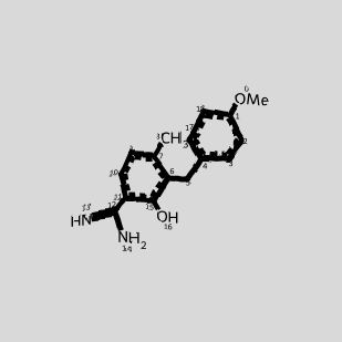 COc1ccc(Cc2c(C)ccc(C(=N)N)c2O)cc1